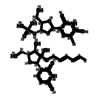 CC=CC=CCO[C@@]1(O)[C@H](O)[C@@H](CO)O[C@H]1n1ccc(=O)[nH]c1=O.Cc1cn([C@H]2C[C@H](OP(=O)(O)O)[C@@H](CO)O2)c(=O)[nH]c1=O